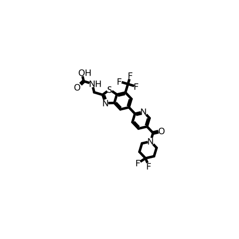 O=C(O)NCc1nc2cc(-c3ccc(C(=O)N4CCC(F)(F)CC4)cn3)cc(C(F)(F)F)c2s1